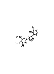 O=[N+]([O-])c1cc(-c2cc(-c3cccc(F)[n+]3[O-])on2)cc(O)c1O